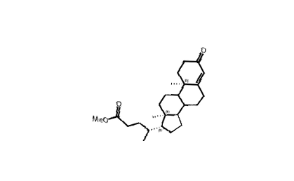 COC(=O)CCC(C)[C@H]1CCC2C3CCC4=CC(=O)CC[C@]4(C)C3CC[C@@]21C